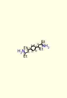 CCC(N)CC(CC)c1ccc(C(CC)CC(N)CC)cc1